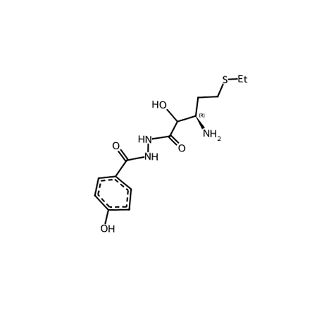 CCSCC[C@@H](N)C(O)C(=O)NNC(=O)c1ccc(O)cc1